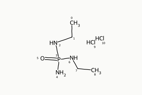 CCNP(N)(=O)NCC.Cl.Cl